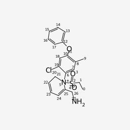 CCS(=O)(=O)[N+]1(c2cc(C)c(Oc3ccccc3)cc2Cl)CC=CC=C1CN